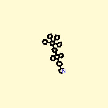 c1ccc(-c2cc(-c3ccc(-c4c5ccccc5c(-c5ccc(-c6cccnc6)cc5)c5ccccc45)cc3)c(-c3ccccc3)c(-c3ccccc3)c2-c2ccccc2)cc1